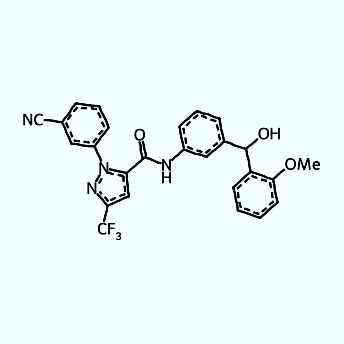 COc1ccccc1C(O)c1cccc(NC(=O)c2cc(C(F)(F)F)nn2-c2cccc(C#N)c2)c1